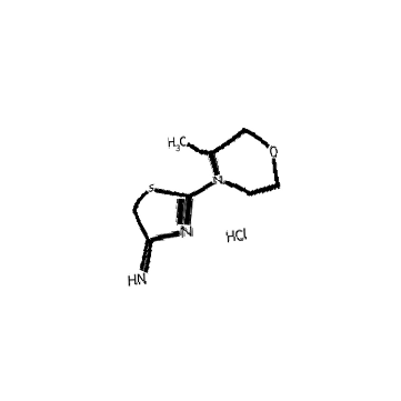 CC1COCCN1C1=NC(=N)CS1.Cl